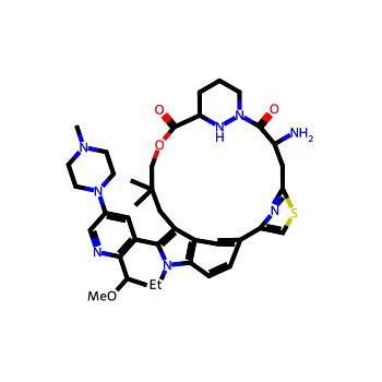 CCn1c(-c2cc(N3CCN(C)CC3)cnc2C(C)OC)c2c3cc(ccc31)-c1csc(n1)CC(N)C(=O)N1CCCC(N1)C(=O)OCC(C)(C)C2